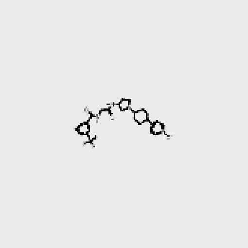 O=C(CNC(=O)c1cccc(C(F)(F)F)c1)N[C@@H]1CCN(C2CCC(c3cc[n+]([O-])cc3)CC2)C1